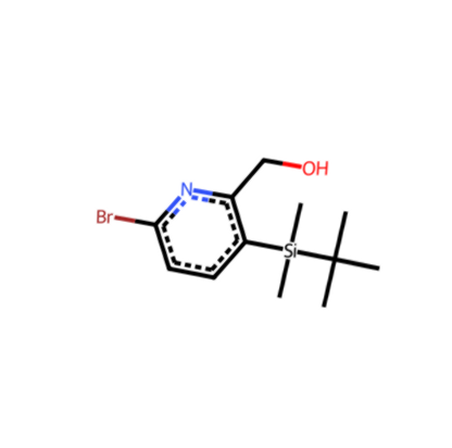 CC(C)(C)[Si](C)(C)c1ccc(Br)nc1CO